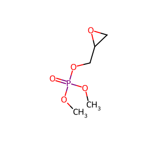 COP(=O)(OC)OCC1CO1